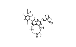 CCC1CNc2nc(OCC34CCCN3C[C@H](F)C4)nc3c(F)c(-c4c(F)c(N)c(F)c(C)c4I)nc(c23)O[C@@H](C)CCN1